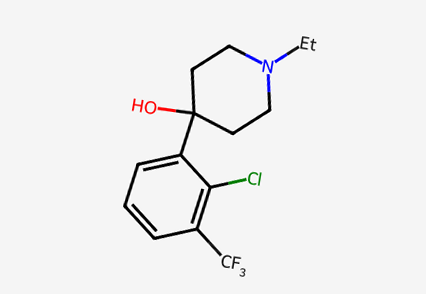 CCN1CCC(O)(c2cccc(C(F)(F)F)c2Cl)CC1